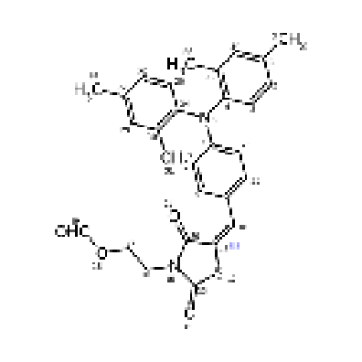 Cc1ccc(N(c2ccc(/C=C3/SC(=O)N(CCOC=O)C3=O)cc2)c2ccc(C)cc2C)c(C)c1